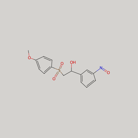 COc1ccc(S(=O)(=O)CC(O)c2cccc(N=O)c2)cc1